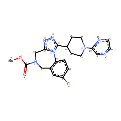 CC[C@H](C)OC(=O)N1Cc2cc(Cl)ccc2-n2c(nnc2C2CCN(c3cnccn3)CC2)C1